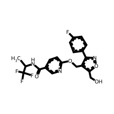 CC(NC(=O)c1ccc(OCc2c(-c3ccc(F)cc3)noc2CO)nc1)C(F)(F)F